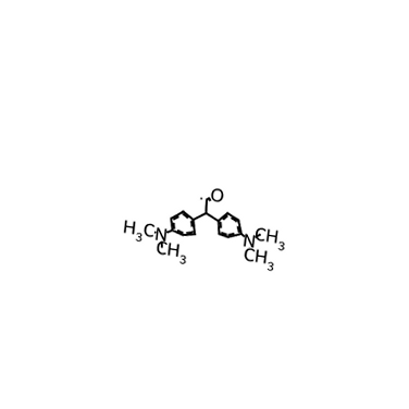 CN(C)c1ccc(C([C]=O)c2ccc(N(C)C)cc2)cc1